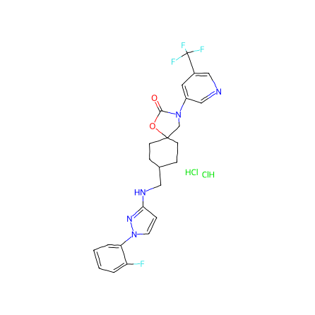 Cl.Cl.O=C1OC2(CCC(CNc3ccn(-c4ccccc4F)n3)CC2)CN1c1cncc(C(F)(F)F)c1